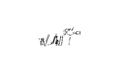 CC(C)COP(O)CCl